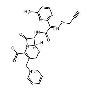 C#CCO/N=C(/C(=O)NC1C(=O)N2C(C(=O)[O-])=C(C[n+]3ccccc3)CS[C@H]12)c1nccc(N)n1